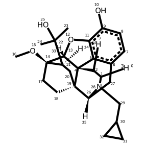 [3H]C1C([3H])[C@]23c4c5ccc(O)c4O[C@H]2[C@@]2(OC)CC[C@@]3(C[C@@H]2C(C)(C)O)[C@@H](C5)N1CC1CC1